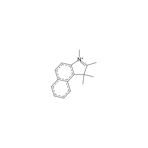 CC1=[N+](C)c2ccc3ccccc3c2C1(C)C